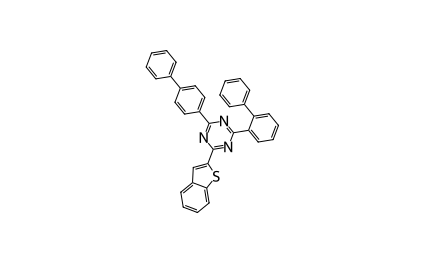 c1ccc(-c2ccc(-c3nc(-c4cc5ccccc5s4)nc(-c4ccccc4-c4ccccc4)n3)cc2)cc1